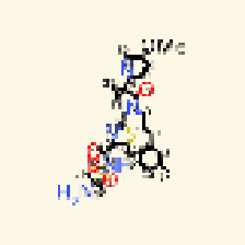 COc1ccc(C2(C(=O)N(CCCc3cccc(C)c3)Cc3nc(C(=O)NS(=O)(=O)C(C)(C)N)c(C)s3)CC2)nc1